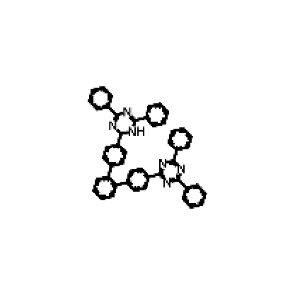 c1ccc(C2=NC(c3ccc(-c4ccccc4-c4ccc(-c5nc(-c6ccccc6)nc(-c6ccccc6)n5)cc4)cc3)NC(c3ccccc3)=N2)cc1